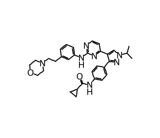 CC(C)n1cc(-c2ccnc(Nc3cccc(CCN4CCOCC4)c3)n2)c(-c2ccc(NC(=O)C3CC3)cc2)n1